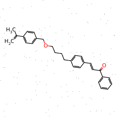 C=C(C)c1ccc(COCCCCc2ccc(/C=C/C(=O)c3ccccc3)cc2)cc1